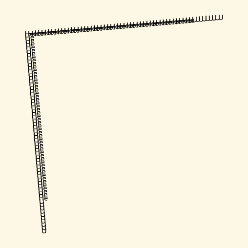 [He].[He].[He].[He].[He].[He].[He].[He].[He].[He].[He].[He].[He].[He].[He].[He].[He].[He].[He].[He].[He].[He].[He].[He].[He].[He].[He].[He].[He].[He].[He].[He].[He].[He].[He].[He].[He].[He].[He].[He].[He].[He].[He].[He].[He].[He].[He].[He].[He].[He].[He].[He].[He].[He].[He].[He].[He].[He].[He].[He].[He].[He].[He].[He].[He].[He].[He].[He].[He].[He].[He].[He].[He].[He].[He].[He].[He].[He].[He].[He].[He].[He].[He].[He].[He].[He].[He].[He].[He].[He].[He].[He].[He].[He].[He].[He].[He].[He].[He].[He].[U].[U].[U].[U].[U].[U].[U].[U].[U].[U].[U].[U].[U].[U].[U].[U].[U].[U].[U].[U]